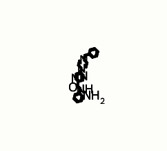 Nc1ccccc1NC(=O)c1cnc(N2CCN(Cc3ccccc3)CC2)cn1